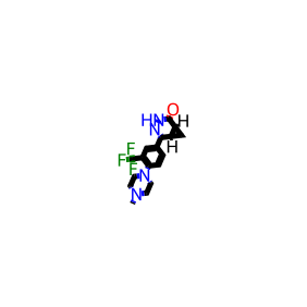 CN1CCN(c2ccc(C3=NNC(=O)[C@@H]4C[C@H]34)cc2C(F)(F)F)CC1